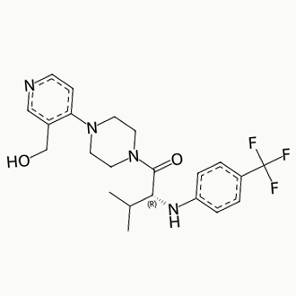 CC(C)[C@@H](Nc1ccc(C(F)(F)F)cc1)C(=O)N1CCN(c2ccncc2CO)CC1